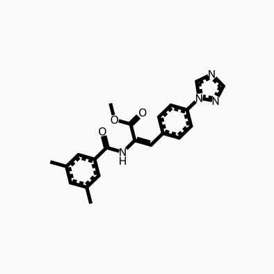 COC(=O)/C(=C\c1ccc(-n2cncn2)cc1)NC(=O)c1cc(C)cc(C)c1